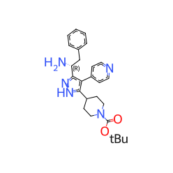 CC(C)(C)OC(=O)N1CCC(c2[nH]nc([C@H](N)Cc3ccccc3)c2-c2ccncc2)CC1